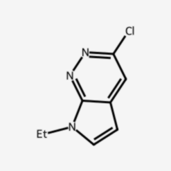 CCn1ccc2cc(Cl)nnc21